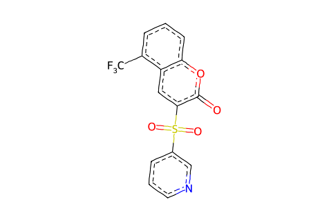 O=c1oc2cccc(C(F)(F)F)c2cc1S(=O)(=O)c1cccnc1